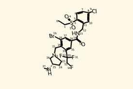 CCS(=O)(=O)c1ccc(Cl)cc1CNC(=O)c1cc(Br)c(CN2CC[C@H](NC)C2)c(C(F)(F)CF)c1